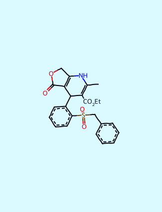 CCOC(=O)C1=C(C)NC2=C(C(=O)OC2)C1c1ccccc1S(=O)(=O)Cc1ccccc1